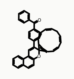 O=C(c1ccccc1)c1ccc(C2=Cc3c(ccc4ccccc34)OC23C2=C=C3/C=C\C=C/C/C=C\C=C/2)cc1